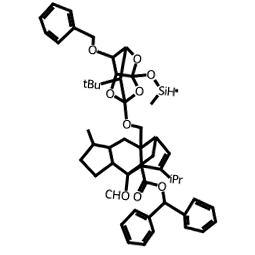 CC(C)C1=CC2CC3(C=O)C4CCC(C)C4CC2(COC24OC5C(OCc6ccccc6)C(OC5(O[SiH](C)C)O2)C4C(C)(C)C)C13C(=O)OC(c1ccccc1)c1ccccc1